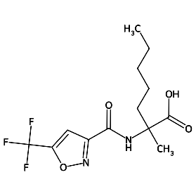 CCCCCC(C)(NC(=O)c1cc(C(F)(F)F)on1)C(=O)O